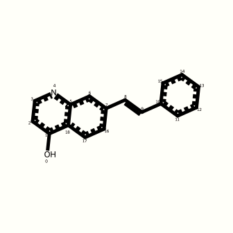 Oc1ccnc2cc(C=Cc3ccccc3)ccc12